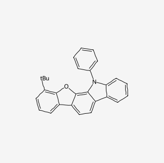 CC(C)(C)c1cccc2c1oc1c2ccc2c3ccccc3n(-c3ccccc3)c21